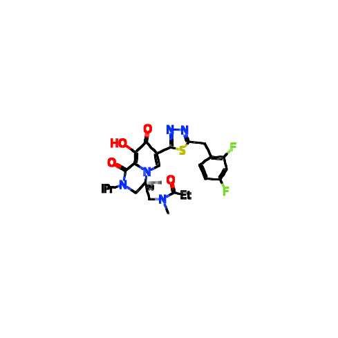 CCC(=O)N(C)C[C@@]1(C)CN(C(C)C)C(=O)c2c(O)c(=O)c(-c3nnc(Cc4ccc(F)cc4F)s3)cn21